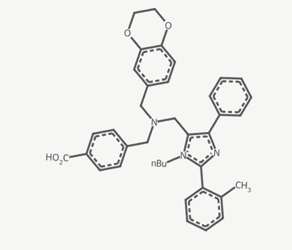 CCCCn1c(-c2ccccc2C)nc(-c2ccccc2)c1CN(Cc1ccc(C(=O)O)cc1)Cc1ccc2c(c1)OCCO2